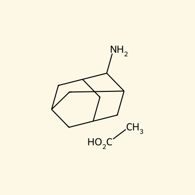 CC(=O)O.NC1C2CC3CC(C2)CC1C3